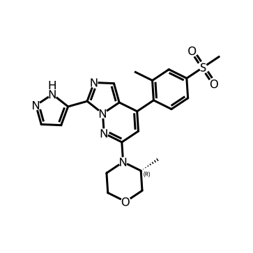 Cc1cc(S(C)(=O)=O)ccc1-c1cc(N2CCOC[C@H]2C)nn2c(-c3ccn[nH]3)ncc12